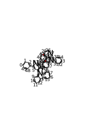 c1ccc(-c2cc(-n3c4ccccc4c4cccc(-c5ccc6c7cccnc7n(-c7ccccc7)c6c5)c43)nc(-c3ccccc3)n2)cc1